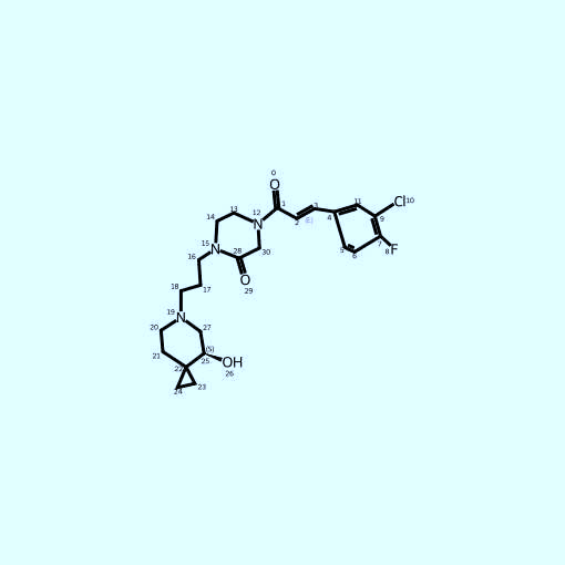 O=C(/C=C/c1ccc(F)c(Cl)c1)N1CCN(CCCN2CCC3(CC3)[C@H](O)C2)C(=O)C1